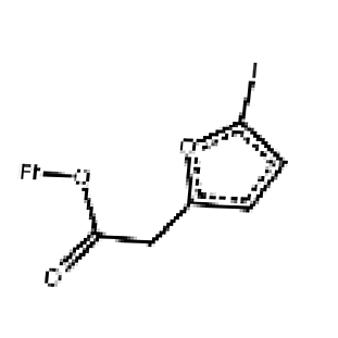 CCOC(=O)Cc1ccc(I)o1